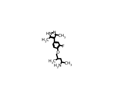 Cc1n[nH]c(C)c1-c1ccc(OCC(C)CC(C)N)c(F)c1